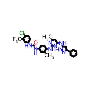 Cc1cc(Nc2cc(-c3ccccc3)n[nH]2)nc(Nc2ccc(NC(=O)Nc3ccc(Cl)c(C(F)(F)F)c3)cc2C)n1